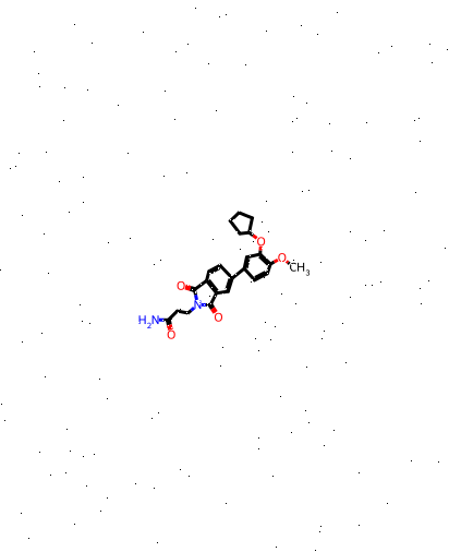 COc1ccc(-c2ccc3c(c2)C(=O)N(CCC(N)=O)C3=O)cc1OC1CCCC1